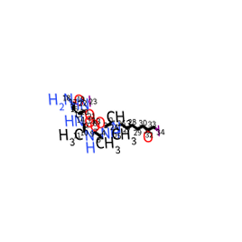 C[C@H](C(=O)N[C@H](C)C(=O)N[C@H](C)C(=O)N[C@@H](CC(N)=O)C(=O)NI)N(C)CCCCCC(=O)CI